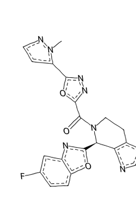 Cn1nccc1-c1nnc(C(=O)N2CCc3[nH]cnc3[C@H]2c2nc3cc(F)ccc3o2)o1